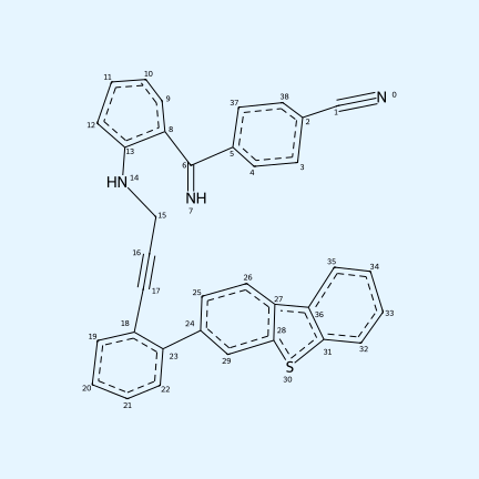 N#Cc1ccc(C(=N)c2ccccc2NCC#Cc2ccccc2-c2ccc3c(c2)sc2ccccc23)cc1